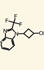 OC1CC(n2c(C(F)(F)F)nc3ncccc32)C1